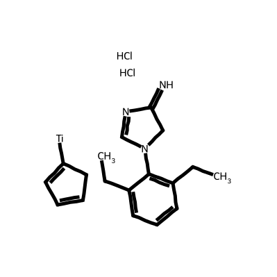 CCc1cccc(CC)c1N1C=NC(=N)C1.Cl.Cl.[Ti][C]1=CC=CC1